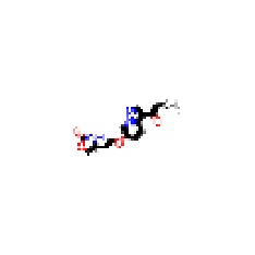 CCC(=O)c1cnn2cc(OCC[C@H]3COC(=O)N3)ccc12